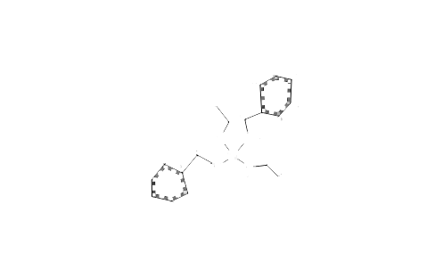 CCO[Si](OCC)(OCc1ccccc1)OCc1ccccc1